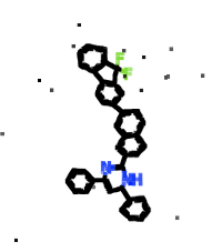 FC1(F)c2ccccc2-c2ccc(-c3ccc4ccc(C5=NC(c6ccccc6)=CC(c6ccccc6)N5)cc4c3)cc21